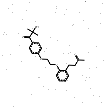 CC(=O)CCc1ccccc1OCCOc1ccc(C(=O)C(C)(C)O)cc1